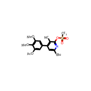 COc1cc(-c2cc(C(C)(C)C)nc(OS(=O)(=O)C(F)(F)F)c2C#N)cc(OC(C)=O)c1OC